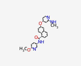 CNc1cc(Oc2ccc3c(C(=O)Nc4ccc(OC)nc4)cccc3c2)ccn1